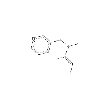 C/C=C(\C)N(C)Cc1cccnc1